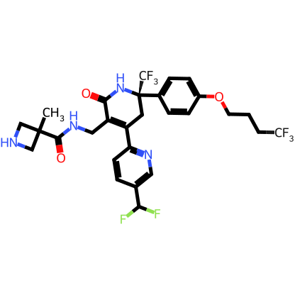 CC1(C(=O)NCC2=C(c3ccc(C(F)F)cn3)C[C@](c3ccc(OCCCC(F)(F)F)cc3)(C(F)(F)F)NC2=O)CNC1